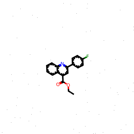 CCOC(=O)c1cc(-c2ccc(F)cc2)nc2ccccc12